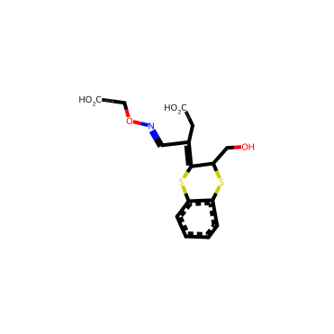 O=C(O)CO/N=C/C(CC(=O)O)=C1\Sc2ccccc2SC1CO